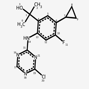 CC(C)(O)c1cc(C2CC2)c(F)cc1Nc1ncnc(Cl)n1